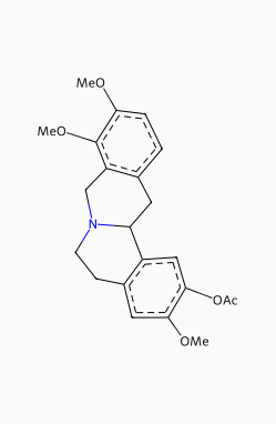 COc1cc2c(cc1OC(C)=O)C1Cc3ccc(OC)c(OC)c3CN1CC2